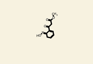 COC(=O)CC(=O)C1=CC=CCC1=NO